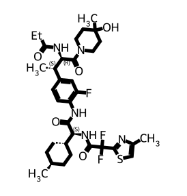 CCC(=O)N[C@@H](C(=O)N1CCC(C)(O)CC1)[C@@H](C)c1ccc(NC(=O)[C@@H](NC(=O)C(F)(F)c2nc(C)cs2)[C@H]2CC[C@H](C)CC2)c(F)c1